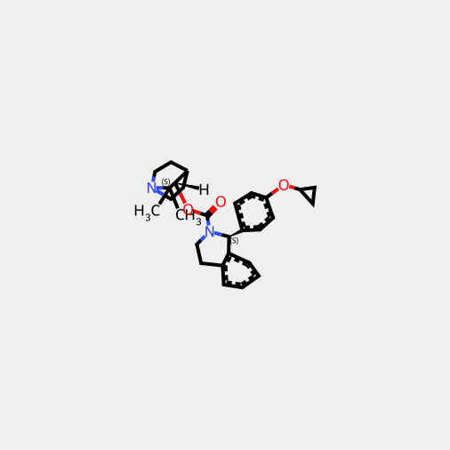 CC1(C)[C@@H](OC(=O)N2CCc3ccccc3[C@@H]2c2ccc(OC3CC3)cc2)C2CCN1CC2